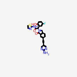 Nc1ncc(C#Cc2ccc3c(c2)C(=O)N([C@@H](C(=O)Nc2nccs2)c2cc(F)ccc2O)C3)cn1